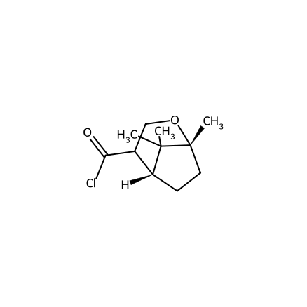 CC1(C)[C@@H]2CC[C@@]1(C)OCC2C(=O)Cl